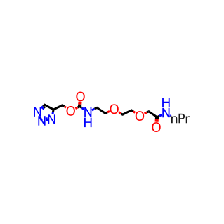 CCCNC(=O)COCCOCCNC(=O)OCC1C=NN=N1